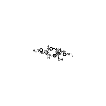 Nc1cccc(CCNc2nc(Nc3ccc(CCNc4nc(NCCO)nc(Nc5cccc(N)c5)n4)cc3)nc(Nc3cccc(N)c3)n2)c1